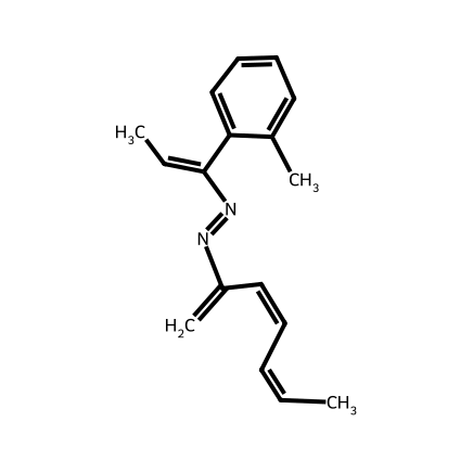 C=C(/C=C\C=C/C)N=N/C(=C/C)c1ccccc1C